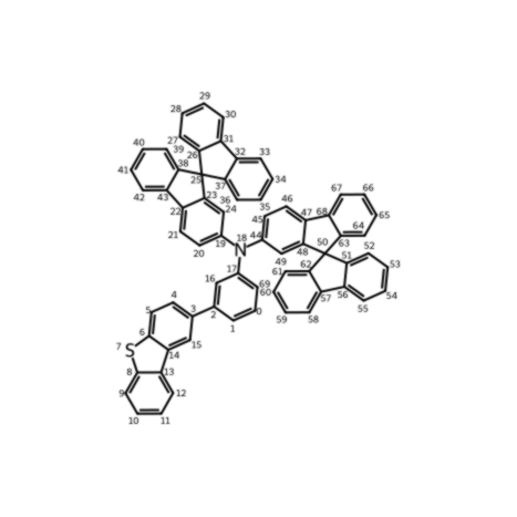 c1cc(-c2ccc3sc4ccccc4c3c2)cc(N(c2ccc3c(c2)C2(c4ccccc4-c4ccccc42)c2ccccc2-3)c2ccc3c(c2)C2(c4ccccc4-c4ccccc42)c2ccccc2-3)c1